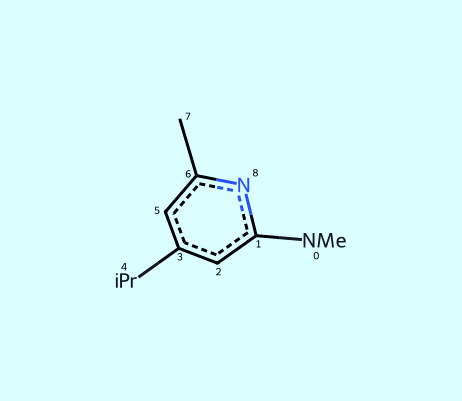 CNc1cc(C(C)C)cc(C)n1